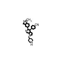 Cn1ncc2cc(-c3ncc4c(ccn4CC4CCNCC4)c3-c3ccc(C#N)cc3)ccc21